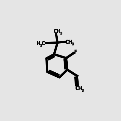 C=[C]c1cccc(C(C)(C)C)c1F